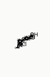 CC(C)Cn1nc(Cl)c2c(COc3ccc(C(C)CC(=O)O)cc3)cccc21